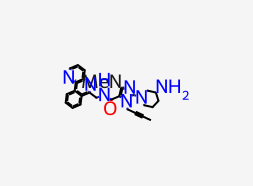 CC#CCn1c(N2CCCC(N)C2)nc(NC)c1C(=O)NCc1nc2cccnc2c2ccccc12